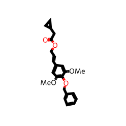 COc1cc(C=CCOC(=O)CC2CC2)cc(OC)c1OCc1ccccc1